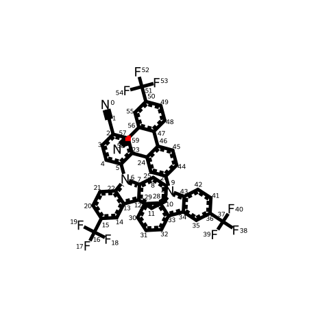 N#Cc1ccc(-n2c3ccccc3c3cc(C(F)(F)F)ccc32)c(-c2cc(-n3c4ccccc4c4cc(C(F)(F)F)ccc43)ccc2-c2ccc(C(F)(F)F)cc2C#N)c1